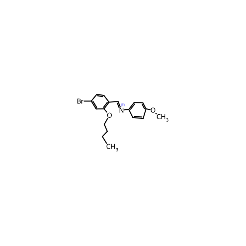 CCCCOc1cc(Br)ccc1/C=N/c1ccc(OC)cc1